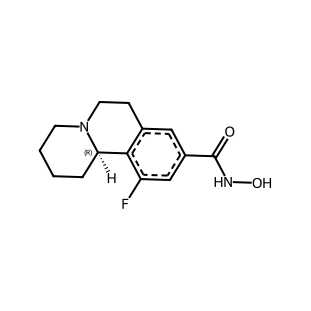 O=C(NO)c1cc(F)c2c(c1)CCN1CCCC[C@H]21